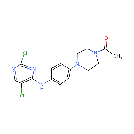 CC(=O)N1CCN(c2ccc(Nc3nc(Cl)ncc3Cl)cc2)CC1